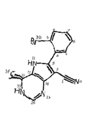 N#Cc1c(-c2ccccc2Br)[nH]c2c(=S)[nH]cnc12